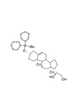 CC(C)(C)[Si](O[C@H]1CC[C@@]2(C)C(=CCC3C2CC[C@@]2(C)C3CC[C@@H]2C(O)CO)C1)(c1ccccc1)c1ccccc1